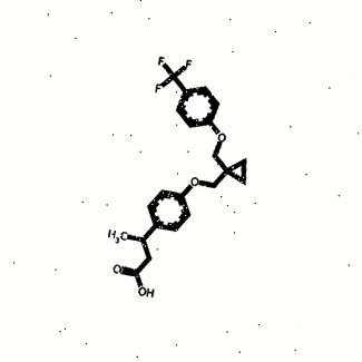 CC(CC(=O)O)c1ccc(OCC2(COc3ccc(C(F)(F)F)cc3)CC2)cc1